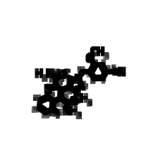 COc1cc(C#N)ccc1Cn1nc(C)c(-c2c(C(N)=O)nc3cccc(F)c3c2C(N)=O)c1C